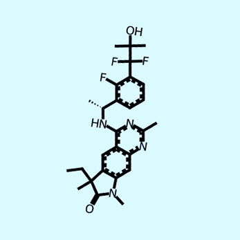 CCC1(C)C(=O)N(C)c2cc3nc(C)nc(N[C@H](C)c4cccc(C(F)(F)C(C)(C)O)c4F)c3cc21